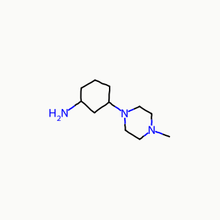 CN1CCN(C2CCCC(N)C2)CC1